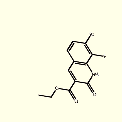 CCOC(=O)c1cc2ccc(Br)c(F)c2[nH]c1=O